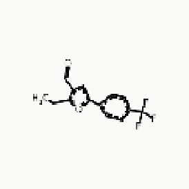 CCc1oc(-c2ccc(C(F)(F)F)cc2)cc1C=O